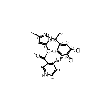 Cc1cc(OC(=O)c2cnccc2Cl)n(C(C)c2ccc(Cl)c(Cl)c2)n1